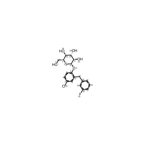 OC[C@@H]1S[C@H](Oc2ccc(Cl)cc2Cc2cccc(F)c2)[C@H](O)[C@@H](O)[C@@H]1O